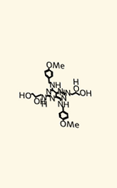 COc1ccc(CNc2nc(NC[C@H](O)CO)nc3c(NCc4ccc(OC)cc4)nc(NC[C@H](O)CO)nc23)cc1